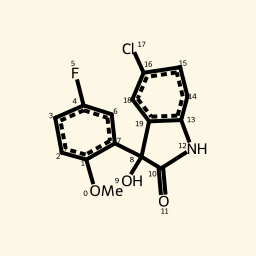 COc1ccc(F)cc1C1(O)C(=O)Nc2ccc(Cl)cc21